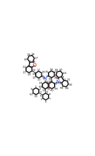 c1ccc(-c2ccccc2-c2ccc(N(c3ccc(-c4cccc5c4oc4ccccc45)cc3)c3ccccc3-c3ccccc3-n3c4ccccc4c4ccccc43)cc2)cc1